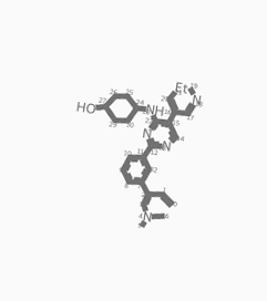 C=C/C(=C\N(C)C)c1cccc(-c2ncc(C(/C=N\C)=C/CC)c(NC3CCC(O)CC3)n2)c1